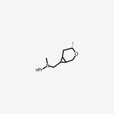 CCCN(C)CC1C2CO[C@@H](C)CC21